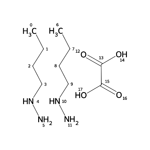 CCCCNN.CCCCNN.O=C(O)C(=O)O